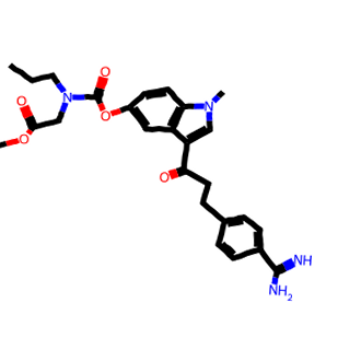 CCCN(CC(=O)OCC)C(=O)Oc1ccc2c(c1)c(C(=O)CCc1ccc(C(=N)N)cc1)cn2C